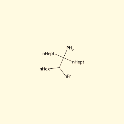 CCCCCCCC(P)(CCCCCCC)C(CCC)CCCCCC